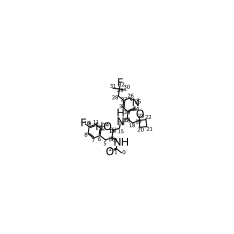 CC(=O)N[C@@H](Cc1ccc(F)cc1)[C@@H](O)CN[C@H]1CC2(CCC2)Oc2ncc(CC(C)(C)F)cc21